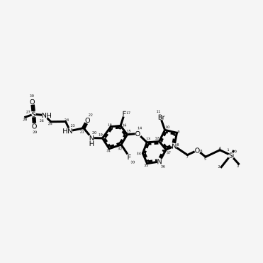 C[Si](C)(C)CCOCn1cc(Br)c2c(Oc3c(F)cc(NC(=O)NCCNS(C)(=O)=O)cc3F)ccnc21